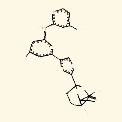 Cc1cc(Nc2cc(C(F)(F)F)ccn2)nc(-c2cnc(C34CC[C@H](C(=O)O3)C(C)(C)C4)s2)c1